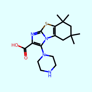 CC1(C)Cc2c(sc3nc(C(=O)O)c(N4CCNCC4)n23)C(C)(C)C1